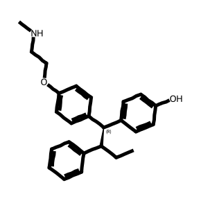 CCC(c1ccccc1)[C@H](c1ccc(O)cc1)c1ccc(OCCNC)cc1